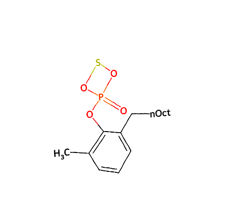 CCCCCCCCCc1cccc(C)c1OP1(=O)OSO1